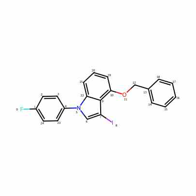 Fc1ccc(-n2cc(I)c3c(OCc4ccccc4)cccc32)cc1